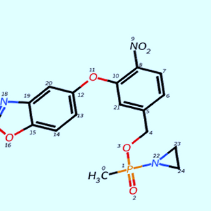 CP(=O)(OCc1ccc([N+](=O)[O-])c(Oc2ccc3ocnc3c2)c1)N1CC1